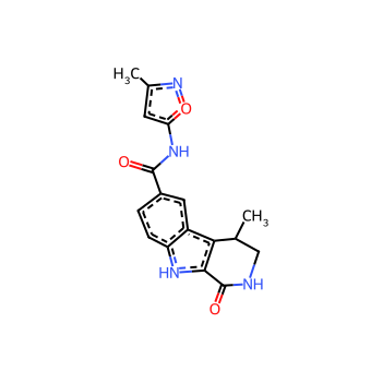 Cc1cc(NC(=O)c2ccc3[nH]c4c(c3c2)C(C)CNC4=O)on1